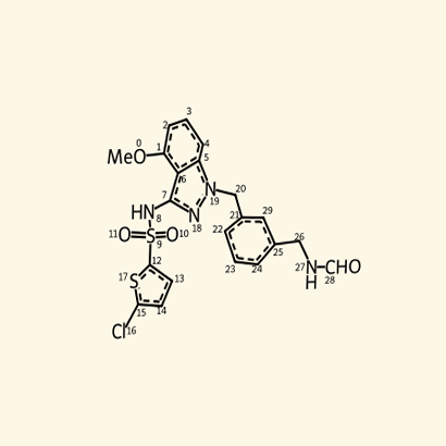 COc1cccc2c1c(NS(=O)(=O)c1ccc(Cl)s1)nn2Cc1cccc(CNC=O)c1